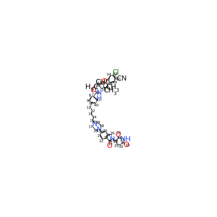 CC1(C)C(NC(=O)c2ccc(CCCCCN3CCN(c4ccc5c(c4)CN([C@H]4CCC(=O)NC4=O)C5=O)CC3)cc2)C(C)(C)C1Oc1ccc(C#N)c(Cl)c1